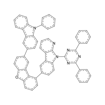 c1ccc(-c2nc(-c3ccccc3)nc(-n3c4ccc(-c5cccc6oc7ccc(-c8ccc9c(c8)c8ccccc8n9-c8ccccc8)cc7c56)cc4c4cccnc43)n2)cc1